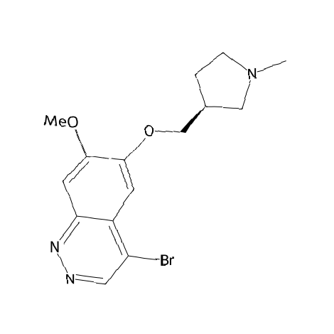 COc1cc2nncc(Br)c2cc1OC[C@H]1CCN(C)C1